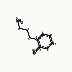 NCCCn1ccncc1=O